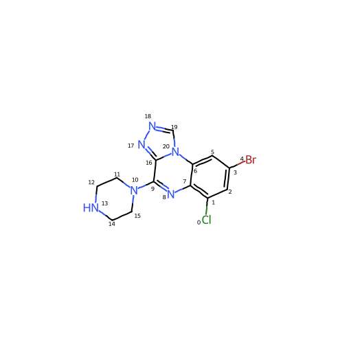 Clc1cc(Br)cc2c1nc(N1CCNCC1)c1nncn12